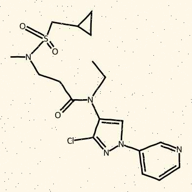 CCN(C(=O)CCN(C)S(=O)(=O)CC1CC1)c1cn(-c2cccnc2)nc1Cl